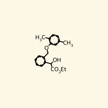 CCOC(=O)C(O)c1ccccc1COc1cc(C)ccc1C